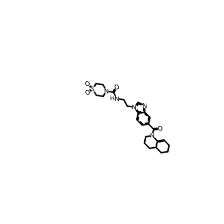 O=C(NCCn1cnc2cc(C(=O)N3CCCC4CCCC=C43)ccc21)N1CCS(=O)(=O)CC1